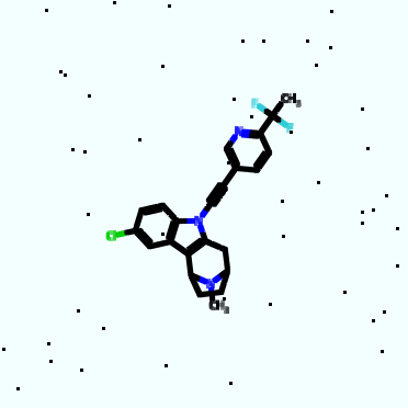 CN1C2CCC1c1c(n(C#Cc3ccc(C(C)(F)F)nc3)c3ccc(Cl)cc13)C2